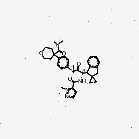 CN(C)C(=O)C1(c2ccc(NC(=O)[C@@H](NC(=O)c3ccnn3C)C3c4ccccc4CC34CC4)cc2)CCOCC1